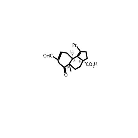 CC(C)C1=C2[C@@H]3CC=C(C=O)CC(=O)[C@@]3(C)CC[C@]2(C(=O)O)CC1